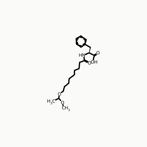 COC(C)OCCCCCCCCC(=O)N[C@@H](Cc1ccccc1)C(=O)O